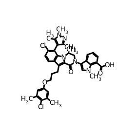 Cc1cc(OCCCc2c3n(c4c(-c5c(C)nn(C)c5C)c(Cl)ccc24)C(C)CN(c2cn(C)c4c(C(=O)O)cccc24)C3=O)cc(C)c1Cl